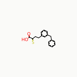 O=C(O)C(=S)CCc1cccc(Cc2ccccc2)c1